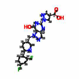 O=C(O)c1cnn(-c2nc(O)c3c(cnn3Cc3ccc(-c4ccc(F)cc4F)nc3)n2)c1